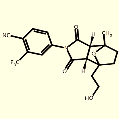 CC12CCC(CCO)(O1)[C@@H]1C(=O)N(c3ccc(C#N)c(C(F)(F)F)c3)C(=O)[C@@H]12